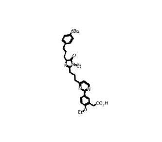 CCOc1ccc(-c2nccc(CCCC3=NC(CCCc4ccc(C(C)(C)C)cc4)C(=O)N3CC)n2)cc1CC(=O)O